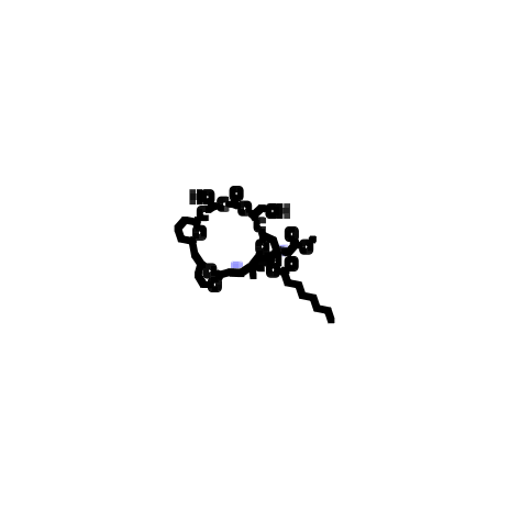 CCCCCCCC(=O)OC1/C(=C/C(=O)OC)CC2CC(CO)OC(=O)CC(O)CC3CCCC(CC4CCOC(/C=C/C(C)(C)C1(O)O2)O4)O3